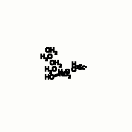 O.O.O.O.O.O.O=[N+]([O-])O.[Sc]